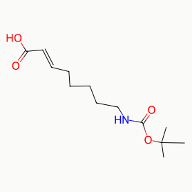 CC(C)(C)OC(=O)NCCCCCC=CC(=O)O